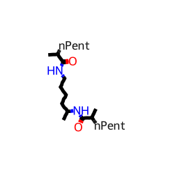 CCCCCC(C)C(=O)NCCCCC(C)NC(=O)C(C)CCCCC